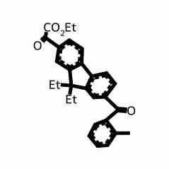 CCOC(=O)C(=O)c1ccc2c(c1)C(CC)(CC)c1cc(C(=O)c3ccccc3C)ccc1-2